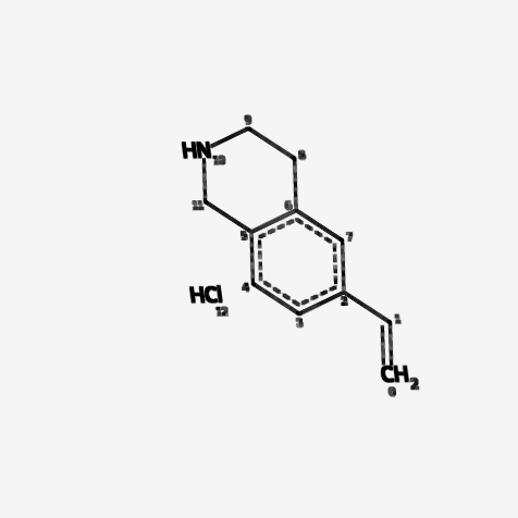 C=Cc1ccc2c(c1)CCNC2.Cl